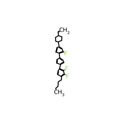 C=CC1CCC(c2ccc(-c3ccc(-c4ccc(CCCCC)c(F)c4F)cc3)c(F)c2)CC1